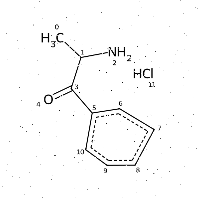 CC(N)C(=O)c1ccccc1.Cl